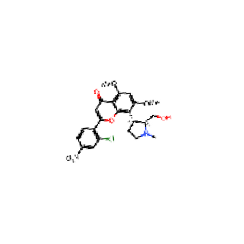 COc1cc(OC)c2c(=O)cc(-c3ccc([N+](=O)[O-])cc3Cl)oc2c1[C@H]1CCN(C)[C@@H]1CO